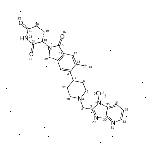 Cn1c(CN2CCC(c3cc4c(cc3F)C(=O)N(C3CCC(=O)NC3=O)C4)CC2)nc2ncccc21